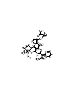 CC(NC(=O)c1c(N)nn2cccnc12)c1cc(Cl)c2c(Cl)cnn2c1N1CCS(=O)(=O)C(C)(C)C1.O=C(O)C(F)(F)F